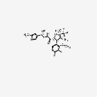 COc1c([C@H]2[C@H](C(=O)NC[C@@H](O)c3cnn(C)c3)O[C@@](C)(C(F)(F)F)[C@H]2C)ccc(F)c1F